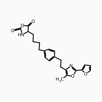 Cc1oc(-c2ccco2)nc1CCc1ccc(CCCCC2NC(=O)OC2=O)cc1